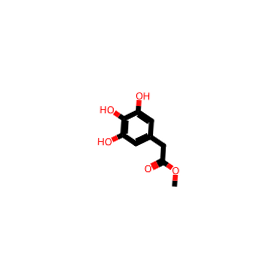 COC(=O)Cc1cc(O)c(O)c(O)c1